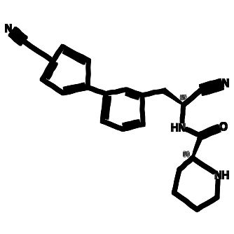 N#Cc1ccc(-c2cccc(C[C@@H](C#N)NC(=O)[C@@H]3CCCCN3)c2)cc1